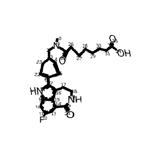 CN(CC1C=CC(c2[nH]c3cc(F)cc4c3c2CCNC4=O)=CC1)C(=O)CCCCCCC(=O)O